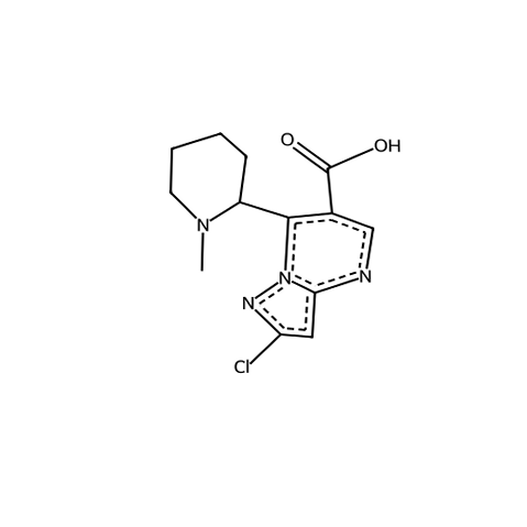 CN1CCCCC1c1c(C(=O)O)cnc2cc(Cl)nn12